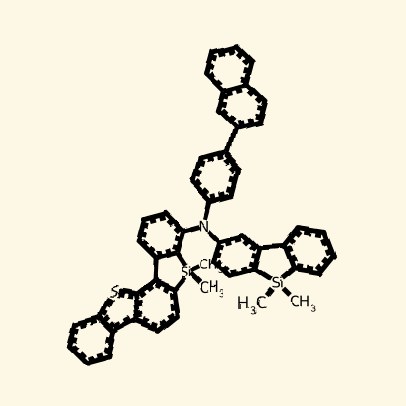 C[Si]1(C)c2ccccc2-c2cc(N(c3ccc(-c4ccc5ccccc5c4)cc3)c3cccc4c3[Si](C)(C)c3ccc5c(sc6ccccc65)c3-4)ccc21